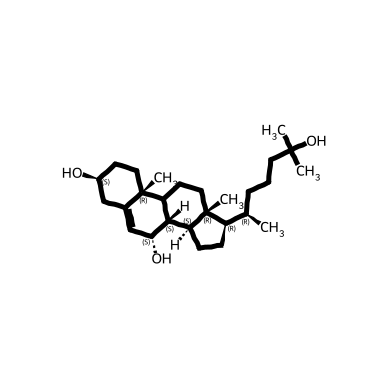 C[C@H](CCCC(C)(C)O)[C@H]1CC[C@H]2[C@H]3C(CC[C@]12C)[C@@]1(C)CC[C@H](O)CC1=C[C@H]3O